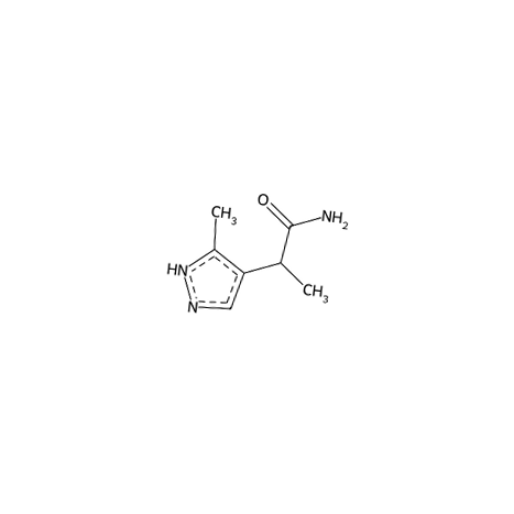 Cc1[nH]ncc1C(C)C(N)=O